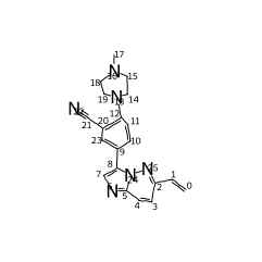 C=Cc1ccc2ncc(-c3ccc(N4CCN(C)CC4)c(C#N)c3)n2n1